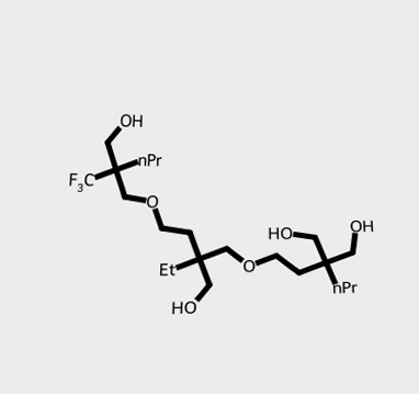 CCCC(CO)(CO)CCOCC(CC)(CO)CCOCC(CO)(CCC)C(F)(F)F